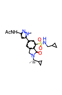 CC(=O)Nc1cc(-c2cc3c(c(S(=O)(=O)NCC4CC4)c2)C(=O)N([C@@H](C)C2CC2)C3)n(C)n1